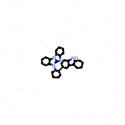 c1ccc(-n2c3ccccc3n3c4ccccc4nc23)c(-c2ccc3[nH]c4ccccc4c3c2)c1